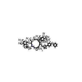 CC[C@H]1OC(=O)C[C@@H](O)[C@H](C)[C@@H](O[C@@H]2O[C@H](C)[C@@H](O)C(N(C)C)C2O)[C@@H](CCn2cc(-c3ccc(Oc4ccccc4)cc3)nn2)C[C@@H](C)C(=O)/C=C/C(C)=C/[C@@H]1CO[C@@H]1OC(C)[C@@H](O)[C@H](OC)C1OC